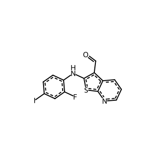 O=Cc1c(Nc2ccc(I)cc2F)sc2ncccc12